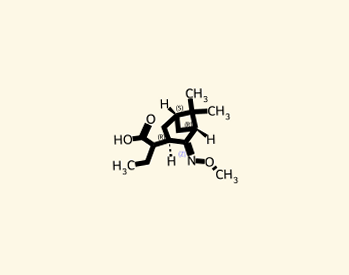 CCC(C(=O)O)[C@H]1C[C@H]2C[C@@H](/C1=N\OC)C2(C)C